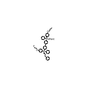 CCCCC[PH](c1ccccc1)(c1ccc(OCCF)cc1)c1ccc(-c2ccc([PH](CCCc3ccccc3)(c3ccccc3)c3ccc(OCCF)cc3)cc2)cc1